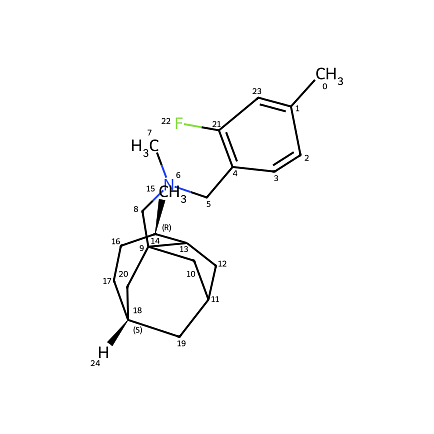 Cc1ccc(CN(C)CC23CC4CC2[C@H](C)CC[C@@H](C4)C3)c(F)c1